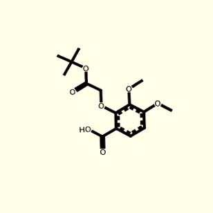 COc1ccc(C(=O)O)c(OCC(=O)OC(C)(C)C)c1OC